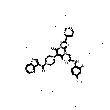 CCc1c(N2CCN(C(=O)c3csc4cncnc34)CC2)c(=O)n2nc(C3=CCOCC3)nc2n1CC(=O)Nc1ccc(C(F)(F)F)cc1Cl